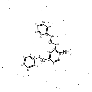 Nc1ccc(OCc2ccccc2)cc1COCc1ccccc1